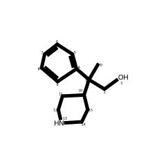 [CH2]C(CO)(c1ccccc1)C1CCNCC1